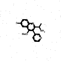 COc1c(-c2cccnc2)c(C(C)N)nc2ccc(F)cc12